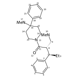 CC[C@@H](c1ccccc1)[C@@H](CNC)C(=O)N1CCC(NC)(c2ccccc2)CC1